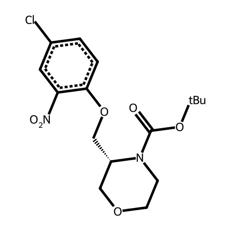 CC(C)(C)OC(=O)N1CCOC[C@@H]1COc1ccc(Cl)cc1[N+](=O)[O-]